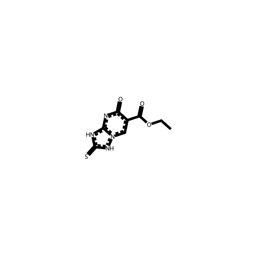 CCOC(=O)c1cn2[nH]c(=S)[nH]c2nc1=O